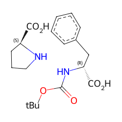 CC(C)(C)OC(=O)N[C@H](Cc1ccccc1)C(=O)O.O=C(O)[C@@H]1CCCN1